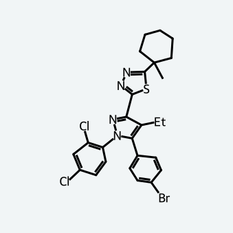 CCc1c(-c2nnc(C3(C)CCCCC3)s2)nn(-c2ccc(Cl)cc2Cl)c1-c1ccc(Br)cc1